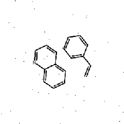 C=Cc1ccccc1.c1ccc2ncccc2c1